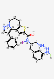 NCC(Cc1cccc(NF)c1)N(I)C(=O)c1cc2c(s1)CCCn1ncc(-c3ccccc3)c1-2